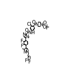 Cc1nn(CCOC(F)F)cc1-c1ccc(-c2cnc(C(=O)Nc3ccc(C(=O)N4CCN(C(=O)OC(C)(C)C)CC4)c(Cl)c3)n2C)c(F)c1F